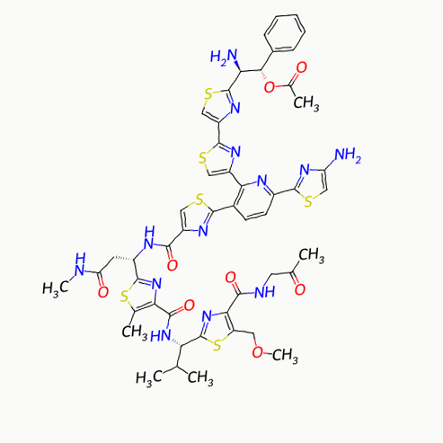 CNC(=O)C[C@H](NC(=O)c1csc(-c2ccc(-c3nc(N)cs3)nc2-c2csc(-c3csc([C@@H](N)[C@@H](OC(C)=O)c4ccccc4)n3)n2)n1)c1nc(C(=O)N[C@H](c2nc(C(=O)NCC(C)=O)c(COC)s2)C(C)C)c(C)s1